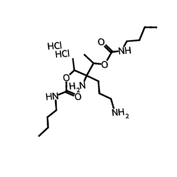 CCCCNC(=O)OC(C)C(N)(CCCN)C(C)OC(=O)NCCCC.Cl.Cl